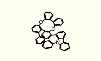 c1ccc(-c2cccc3c2-c2cccc(-c4cccc5c6ccccc6n(-c6ccccc6)c45)c2Oc2ccccc2-c2ccccc2O3)cc1